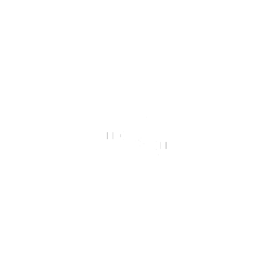 C[Si](C)(I)I